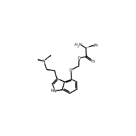 CC(C)[C@H](N)C(=O)OCOc1cccc2[nH]cc(CCN(C)C)c12